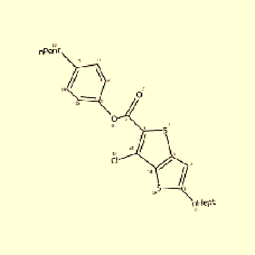 CCCCCCCc1cc2sc(C(=O)Oc3ccc(CCCCC)cc3)c(Cl)c2s1